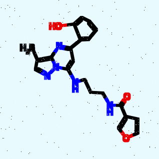 Bc1cnn2c(NCCCNC(=O)c3ccoc3)cc(-c3ccccc3O)nc12